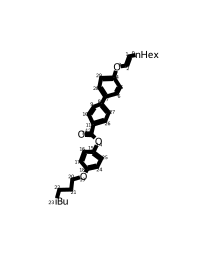 CCCCCCC=COc1ccc(-c2ccc(C(=O)Oc3ccc(OCCCC(C)CC)cc3)cc2)cc1